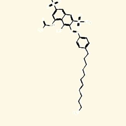 CCCCCCCCCCCCc1ccc(/N=N/c2c(S(C)(=O)=O)cc3cc(S(=O)(=O)O)cc(NC(C)=O)c3c2O)cc1